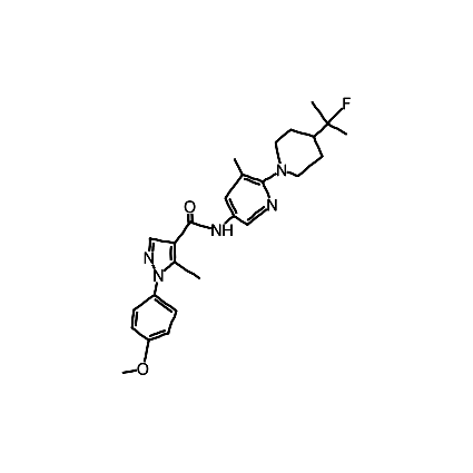 COc1ccc(-n2ncc(C(=O)Nc3cnc(N4CCC(C(C)(C)F)CC4)c(C)c3)c2C)cc1